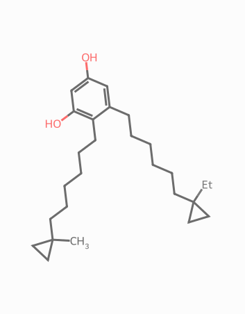 CCC1(CCCCCCc2cc(O)cc(O)c2CCCCCCC2(C)CC2)CC1